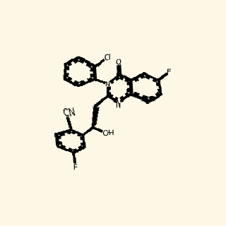 N#Cc1ccc(F)cc1/C(O)=C/c1nc2ccc(F)cc2c(=O)n1-c1ccccc1Cl